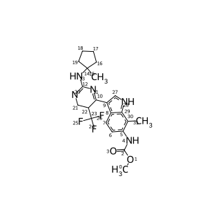 COC(=O)Nc1ccc2c(C3=NC(NC4(C)CCCC4)=NCC3C(F)(F)F)c[nH]c2c1C